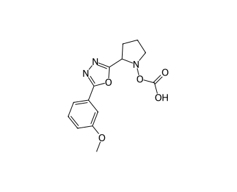 COc1cccc(-c2nnc(C3CCCN3OC(=O)O)o2)c1